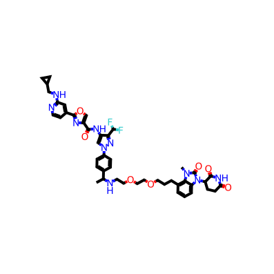 CC(NCCOCCOCCCc1cccc2c1n(C)c(=O)n2C1CCC(=O)NC1=O)c1ccc(-n2cc(NC(=O)c3coc(-c4ccnc(NCC5CC5)c4)n3)c(C(F)F)n2)cc1